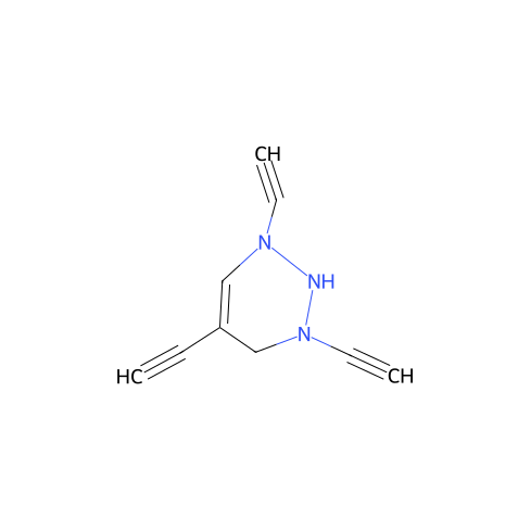 C#CC1=CN(C#C)NN(C#C)C1